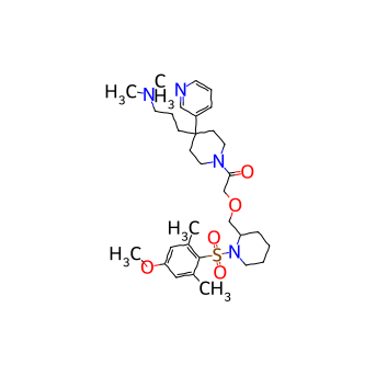 COc1cc(C)c(S(=O)(=O)N2CCCCC2COCC(=O)N2CCC(CCCN(C)C)(c3cccnc3)CC2)c(C)c1